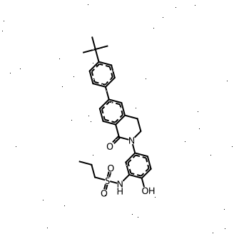 CCCS(=O)(=O)Nc1cc(N2CCc3cc(-c4ccc(C(C)(C)C)cc4)ccc3C2=O)ccc1O